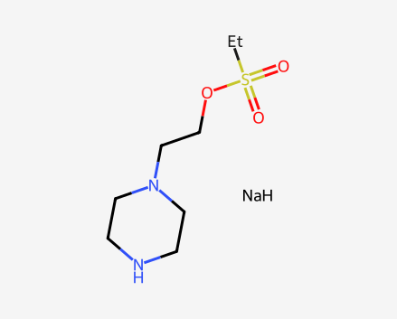 CCS(=O)(=O)OCCN1CCNCC1.[NaH]